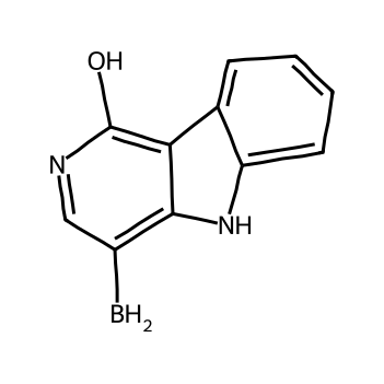 Bc1cnc(O)c2c1[nH]c1ccccc12